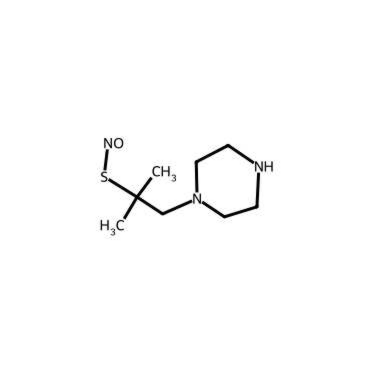 CC(C)(CN1CCNCC1)SN=O